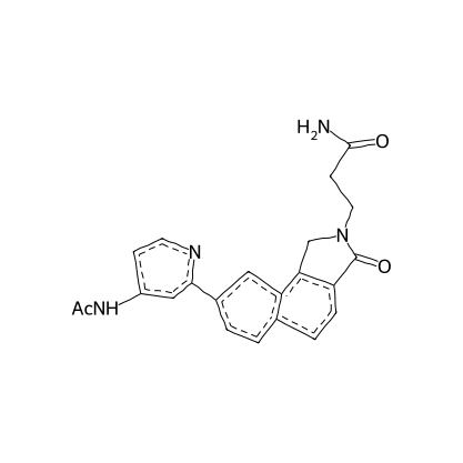 CC(=O)Nc1ccnc(-c2ccc3ccc4c(c3c2)CN(CCC(N)=O)C4=O)c1